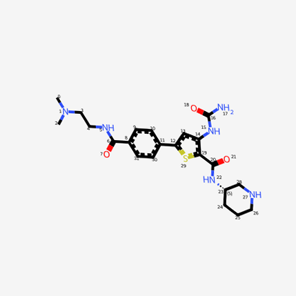 CN(C)CCNC(=O)c1ccc(-c2cc(NC(N)=O)c(C(=O)N[C@H]3CCCNC3)s2)cc1